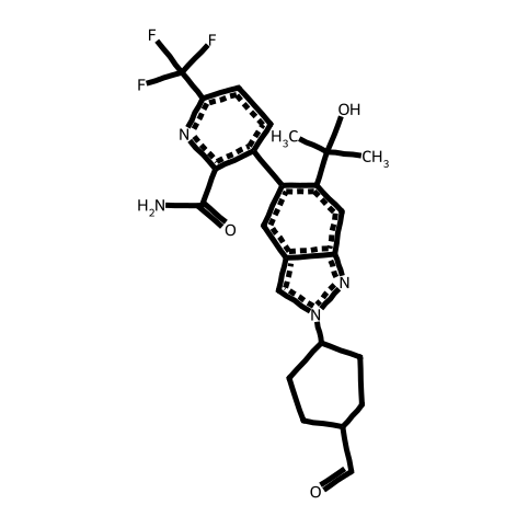 CC(C)(O)c1cc2nn(C3CCC(C=O)CC3)cc2cc1-c1ccc(C(F)(F)F)nc1C(N)=O